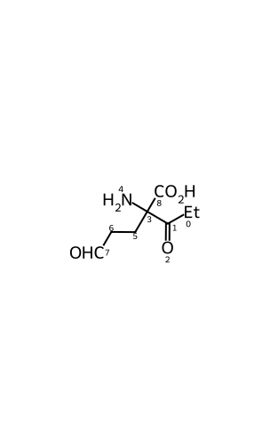 CCC(=O)C(N)(CCC=O)C(=O)O